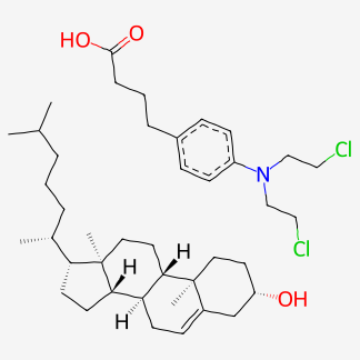 CC(C)CCC[C@@H](C)[C@H]1CC[C@H]2[C@@H]3CC=C4C[C@@H](O)CC[C@]4(C)[C@H]3CC[C@]12C.O=C(O)CCCc1ccc(N(CCCl)CCCl)cc1